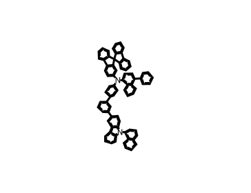 c1ccc(-c2ccc(N(c3ccc(-c4cccc(-c5ccc6c(c5)c5ccccc5n6-c5cccc6ccccc56)c4)cc3)c3ccc4c(c3)C3(c5ccccc5-c5ccccc53)c3ccccc3-4)c3ccccc23)cc1